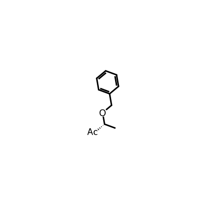 CC(=O)[C@@H](C)OCc1ccccc1